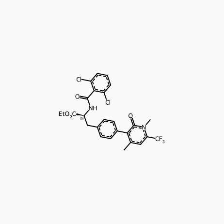 CCOC(=O)[C@H](Cc1ccc(-c2c(C)cc(C(F)(F)F)n(C)c2=O)cc1)NC(=O)c1c(Cl)cccc1Cl